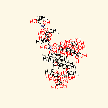 C=CC(C)(O)CC/C=C(\CO)C(=O)O[C@@H]1C(C)O[C@@H](O[C@](C)(C=C)CC/C=C(\CO)C(=O)O[C@H]2C[C@@]3(C(=O)O[C@@H]4OC(CO)[C@@H](O)C(O)[C@@H]4O[C@@H]4OC(C)[C@H](O[C@@H]5O[C@@H](CO)[C@H](O)[C@@H]5O)C(O[C@@H]5OC(CO)[C@@H](O)C(O)[C@@H]5O)[C@@H]4O)C(CC2(C)C)[C@@]2(C)C(=C[C@H]3O)[C@]3(C)CCC4C(C)(C)[C@@H](O[C@@H]5OC(CO[C@@H]6OC(C)[C@H](O)C(O)[C@@H]6O[C@@H]6OC[C@@H](O)C(O)[C@@H]6O)[C@@H](O)C(O)[C@@H]5C)CC[C@]4(C)C3[C@@H]3O[C@@H]32)[C@@H](O)C1O